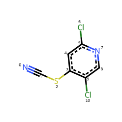 N#CSc1cc(Cl)ncc1Cl